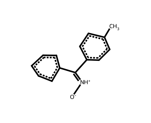 Cc1ccc(C(=[NH+][O-])c2ccccc2)cc1